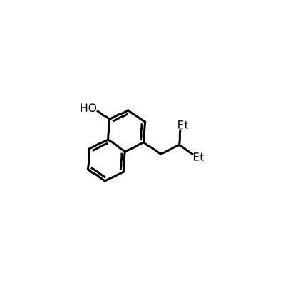 CCC(CC)Cc1ccc(O)c2ccccc12